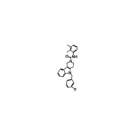 Cc1cccc(NC(=O)N2CCc3c(c4ccccc4n3Cc3cccc(F)c3)C2)c1C